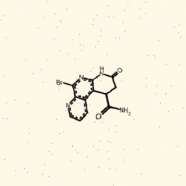 NC(=O)C1CC(=O)Nc2nc(Br)c3ncccc3c21